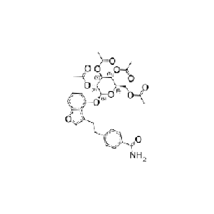 CC(=O)OC[C@H]1O[C@@H](Oc2cccc3occ(CCc4ccc(C(N)=O)cc4)c23)[C@H](OC(C)=O)[C@@H](OC(C)=O)[C@@H]1OC(C)=O